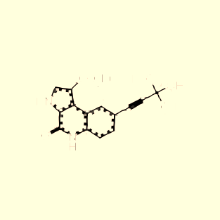 CCOC(=O)c1c[nH]c2c(=O)[nH]c3ccc(C#CC(C)(C)O)cc3c12